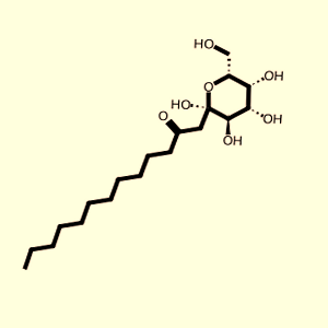 CCCCCCCCCCCC(=O)C[C@@]1(O)O[C@H](CO)[C@H](O)[C@H](O)[C@H]1O